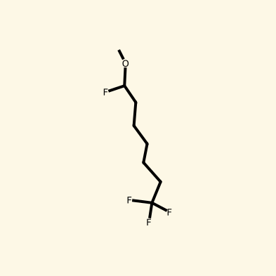 COC(F)CCCCCC(F)(F)F